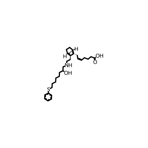 O=C(O)CCC/C=C\C[C@@H]1[C@@H](CCNCC(O)CCCCCCSc2ccccc2)[C@@H]2CC[C@H]1O2